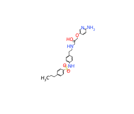 CCCc1ccc(S(=O)(=O)Nc2ccc(CCNC[C@H](O)COc3ccc(N)nc3)cc2)cc1